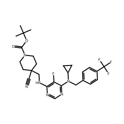 CC(C)(C)OC(=O)N1CCC(C#N)(CNc2ncnc(N(Cc3ccc(C(F)(F)F)cc3)C3CC3)c2F)CC1